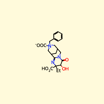 CCC1(C(=O)O)N=C2C3CC(CN2C(=O)C1O)C[N+](Cc1ccccc1)(C(=O)[O-])C3